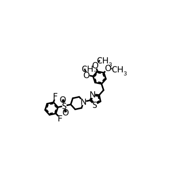 COc1cc(Cc2csc(N3CCC(S(=O)(=O)c4c(F)cccc4F)CC3)n2)cc(OC)c1OC